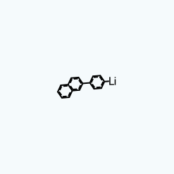 [Li][c]1ccc(-c2ccc3ccccc3c2)cc1